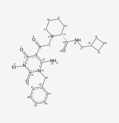 CCn1c(=O)c(C(=O)CN2CCCC[C@@H]2C(=O)NCC2CCC2)c(N)n(Cc2ccccc2)c1=O